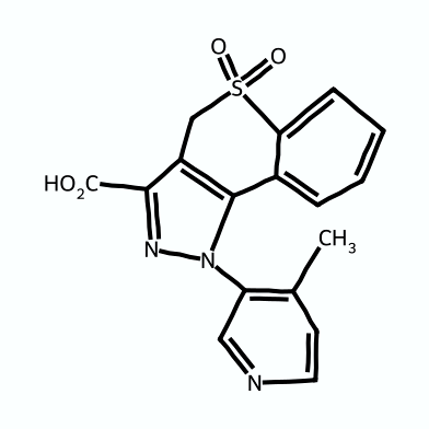 Cc1ccncc1-n1nc(C(=O)O)c2c1-c1ccccc1S(=O)(=O)C2